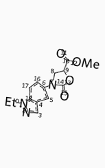 CCn1ncc2cc(N3CC(C(=O)OC)OC3=O)ccc21